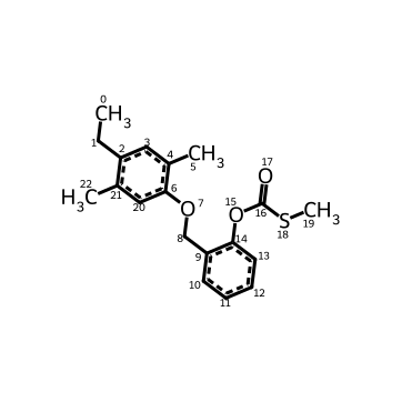 CCc1cc(C)c(OCc2ccccc2OC(=O)SC)cc1C